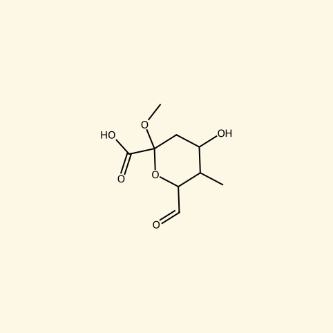 COC1(C(=O)O)CC(O)C(C)C(C=O)O1